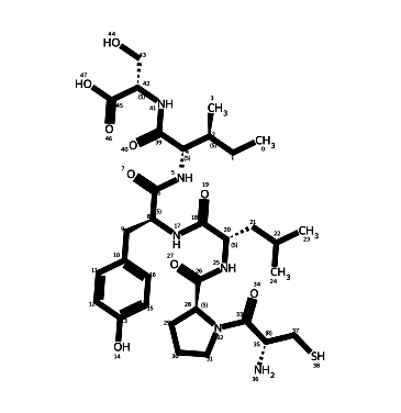 CC[C@H](C)[C@H](NC(=O)[C@H](Cc1ccc(O)cc1)NC(=O)[C@H](CC(C)C)NC(=O)[C@@H]1CCCN1C(=O)[C@@H](N)CS)C(=O)N[C@@H](CO)C(=O)O